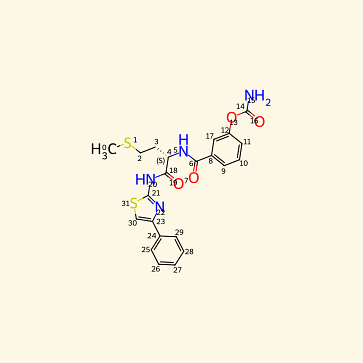 CSCC[C@H](NC(=O)c1cccc(OC(N)=O)c1)C(=O)Nc1nc(-c2ccccc2)cs1